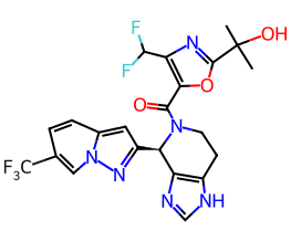 CC(C)(O)c1nc(C(F)F)c(C(=O)N2CCc3[nH]cnc3[C@H]2c2cc3ccc(C(F)(F)F)cn3n2)o1